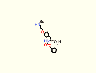 CC(C)(C)NCCCOc1ccc(CC(NC(=O)OCc2ccccc2)C(=O)O)cc1